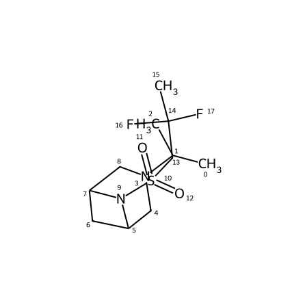 CC(C)N1CC2CC(C1)N2S(=O)(=O)CC(C)(F)F